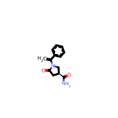 C=C(c1ccccc1)N1C[C@@H](C(N)=O)CC1=O